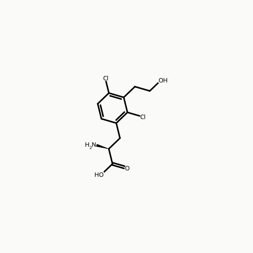 N[C@@H](Cc1ccc(Cl)c(CCO)c1Cl)C(=O)O